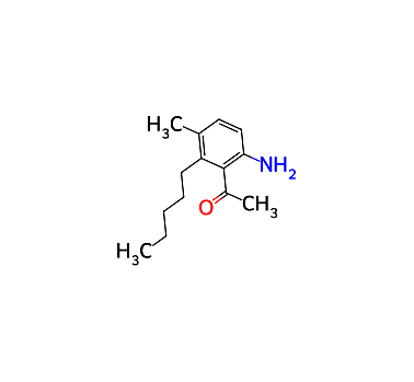 CCCCCc1c(C)ccc(N)c1C(C)=O